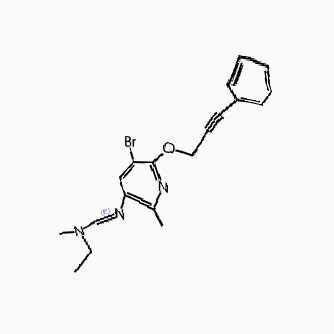 CCN(C)/C=N/c1cc(Br)c(OCC#Cc2ccccc2)nc1C